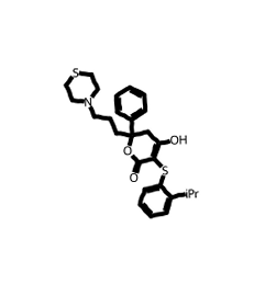 CC(C)c1ccccc1SC1=C(O)CC(CCCN2CCSCC2)(c2ccccc2)OC1=O